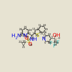 C[C@@](O)(c1ccnc(-c2cccc3cc(C(NS(=O)(=O)C4CC4)c4cccc(N)n4)sc23)c1)C(F)(F)F